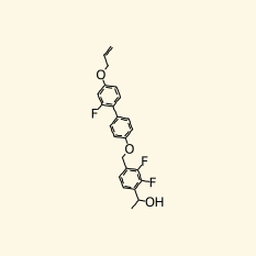 C=CCOc1ccc(-c2ccc(OCc3ccc(C(C)O)c(F)c3F)cc2)c(F)c1